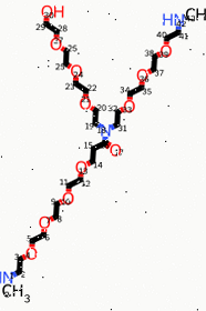 CNCCOCCOCCOCCOCCC(=O)N(CCOCCOCCOCCO)CCOCCOCCOCCNC